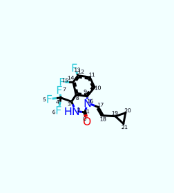 O=C1NC(C(F)(F)F)c2c(ccc(F)c2F)N1C=CC1CC1